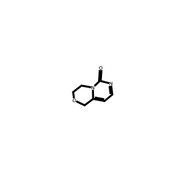 O=c1nccc2n1CCOC2